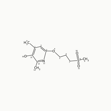 Cc1cc(OCCCS(C)(=O)=O)nc(C)c1[O]